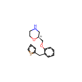 c1csc(Cc2ccccc2OC[C@@H]2CNCCO2)c1